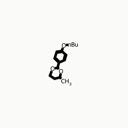 CCCCOc1ccc(C2OCCC(C)O2)cc1